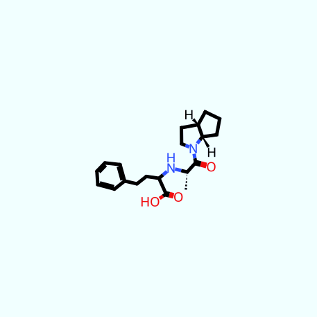 C[C@H](NC(CCc1ccccc1)C(=O)O)C(=O)N1CC[C@@H]2CCC[C@@H]21